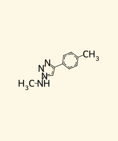 CNn1cc(-c2ccc(C)cc2)nn1